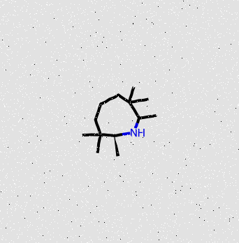 CC1N[C@@H](C)C(C)(C)CCCC1(C)C